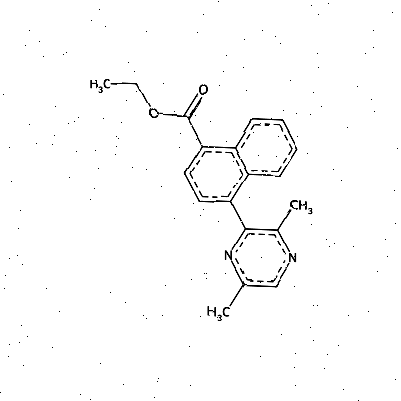 CCOC(=O)c1ccc(-c2nc(C)cnc2C)c2ccccc12